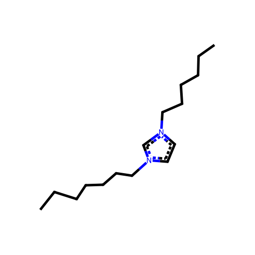 CCCCCCC[n+]1ccn(CCCCCC)c1